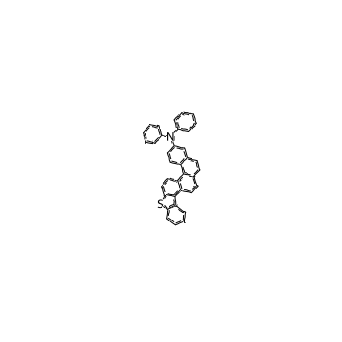 c1ccc(N(c2ccccc2)c2ccc3c(ccc4ccc5c(ccc6sc7ccccc7c65)c43)c2)cc1